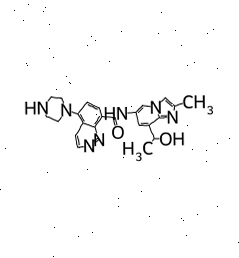 Cc1cn2cc(NC(=O)c3ccc(N4CCNCC4)c4ccnnc34)cc(C(C)O)c2n1